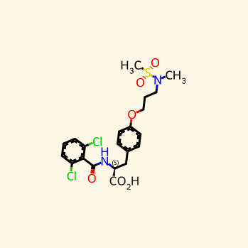 CN(CCCOc1ccc(C[C@H](NC(=O)c2c(Cl)cccc2Cl)C(=O)O)cc1)S(C)(=O)=O